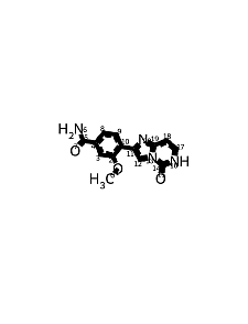 COc1cc(C(N)=O)ccc1-c1cn2c(=O)[nH]ccc2n1